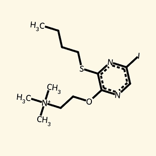 CCCCSc1nc(I)cnc1OCC[N+](C)(C)C